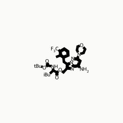 CCC(C)C(NC(=O)OC(C)(C)C)C(=O)OCc1nc2c(N)cc(N3CCOCC3)nn2c1Cc1cccc(C(F)(F)F)c1C